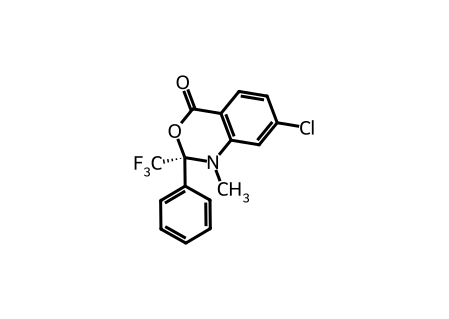 CN1c2cc(Cl)ccc2C(=O)O[C@@]1(c1ccccc1)C(F)(F)F